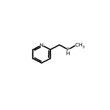 CPCc1ccccn1